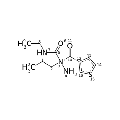 CCC[N+](N)(C(=O)NCC)C(=O)c1ccsc1